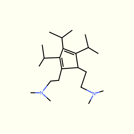 CC(C)C1=C(CCN(C)C)C(CCN(C)C)C(C(C)C)=C1C(C)C